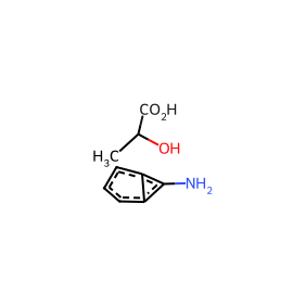 CC(O)C(=O)O.Nc1c2cccc1-2